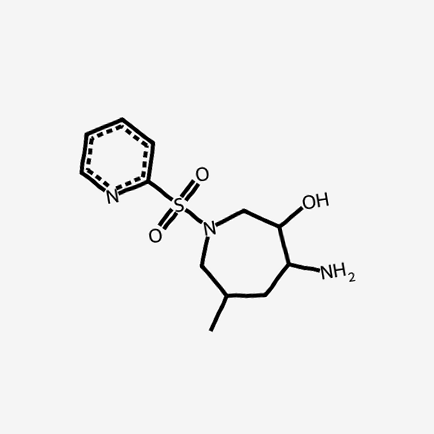 CC1CC(N)C(O)CN(S(=O)(=O)c2ccccn2)C1